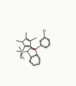 CCc1cccc(C2=C[CH]([Zr]([CH3])([CH3])(=[SiH2])[C]3=C(C)C(C)=C(C)C3C)c3ccccc32)c1